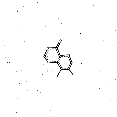 Cc1cnc2c(=O)ncoc2c1C